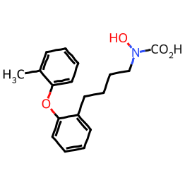 Cc1ccccc1Oc1ccccc1CCCCN(O)C(=O)O